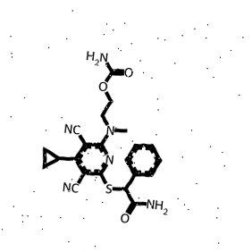 CN(CCOC(N)=O)c1nc(SC(C(N)=O)c2ccccc2)c(C#N)c(C2CC2)c1C#N